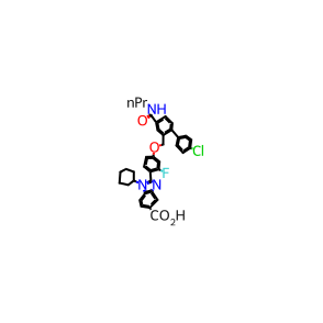 CCCNC(=O)c1ccc(-c2ccc(Cl)cc2)c(COc2ccc(-c3nc4cc(C(=O)O)ccc4n3C3CCCCC3)c(F)c2)c1